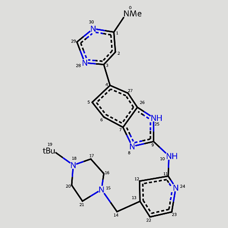 CNc1cc(-c2ccc3nc(Nc4cc(CN5CCN(C(C)(C)C)CC5)ccn4)[nH]c3c2)ncn1